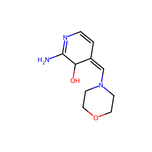 NC1=NC=CC(=CN2CCOCC2)C1O